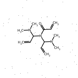 C=CC(=O)N(C(C=C)N(C)C)C(C=C)N(C)C